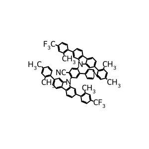 Cc1ccc(-c2ccc3c4ccc(-c5ccc(C(F)(F)F)cc5C)cc4n(-c4cc(-c5ccncc5)c(-n5c6cc(-c7ccc(C)cc7C)ccc6c6ccc(-c7ccc(C(F)(F)F)cc7C)cc65)cc4C#N)c3c2)c(C)c1